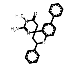 CN1C(=O)CC2(CC(c3ccccc3)Oc3ccc(-c4ccccc4)cc32)N=C1N